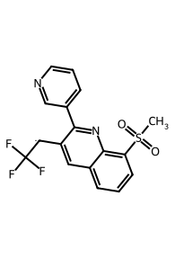 CS(=O)(=O)c1cccc2cc([CH]C(F)(F)F)c(-c3cccnc3)nc12